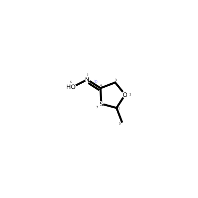 CC1OC/C(=N/O)S1